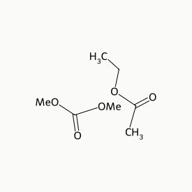 CCOC(C)=O.COC(=O)OC